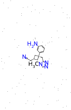 Cn1cnnc1C[C@]1(c2cccc(N)c2)C[C@H](CC#N)C1